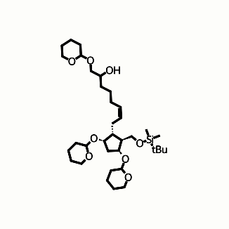 CC(C)(C)[Si](C)(C)OC[C@@H]1[C@@H](C/C=C\CCCC(O)COC2CCCCO2)[C@@H](OC2CCCCO2)C[C@H]1OC1CCCCO1